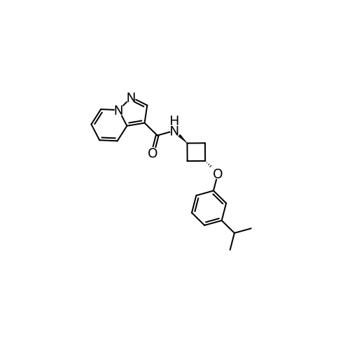 CC(C)c1cccc(O[C@H]2C[C@H](NC(=O)c3cnn4ccccc34)C2)c1